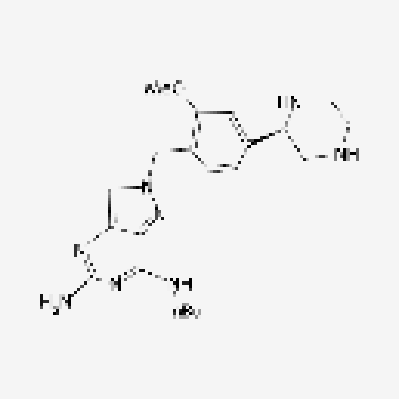 CCCCNc1nc(N)nc2cn(Cc3ccc([C@@H]4CNCCN4)cc3OC)nc12